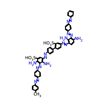 Cc1ccc(N=Nc2ccc(N=Nc3c(N)c(N=Nc4ccc(-c5ccc(N=Nc6ccc(N)c(N=Nc7ccc(N=Nc8ccccc8)cc7)c6N)cc5S(=O)(=O)O)cc4)cc(S(=O)(=O)O)c3N)cc2)cc1